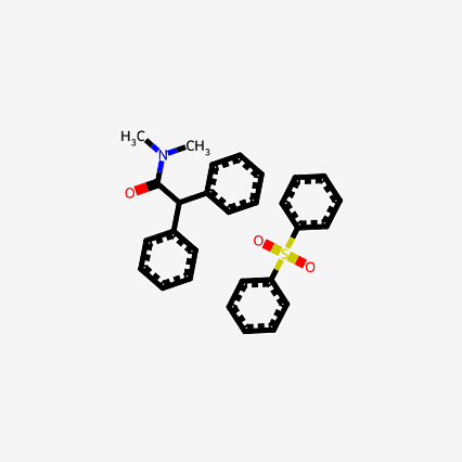 CN(C)C(=O)C(c1ccccc1)c1ccccc1.O=S(=O)(c1ccccc1)c1ccccc1